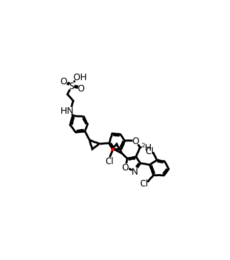 [2H]C(Oc1ccc(C2CC2c2ccc(NCCS(=O)(=O)O)cc2)c(Cl)c1)c1c(-c2c(Cl)cccc2Cl)noc1C1CC1